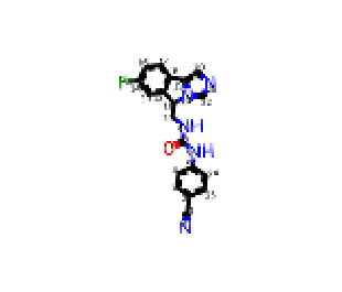 N#Cc1ccc(NC(=O)NCC2c3cc(F)ccc3-c3cncn32)cc1